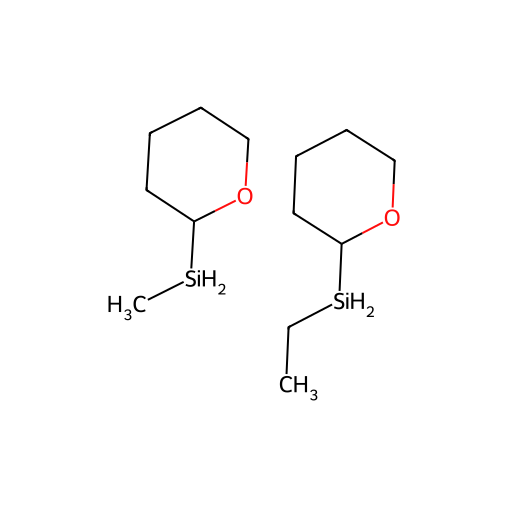 CC[SiH2]C1CCCCO1.C[SiH2]C1CCCCO1